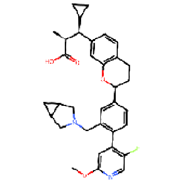 COc1cc(-c2ccc([C@@H]3CCc4ccc([C@H](C5CC5)[C@H](C)C(=O)O)cc4O3)cc2CN2CC3CC3C2)c(F)cn1